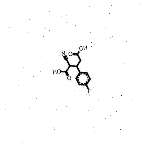 N#CC(C(=O)O)C(CC(=O)O)c1ccc(F)cc1